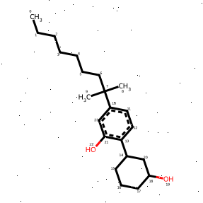 CCCCCCCC(C)(C)c1ccc(C2CCCC(O)C2)c(O)c1